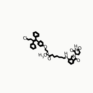 CN(CCOc1ccc(C(=C(CCCl)c2ccccc2)c2ccccc2)cc1)C(=O)CCCCCCNc1cccc2c1CN(C1CCC(=O)NC1=O)C2=O